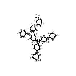 Clc1cccc(-c2ccc3c(c2)c2cc(N(c4ccc(-c5ccccc5)cc4)c4ccc(-c5ccccc5)cc4)ccc2n3-c2ccccc2)c1